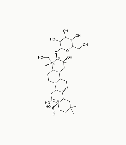 CC1(C)CC[C@@]2(C(=O)O)C(C1)C1=CCC3C(CCC4C3C[C@H](O)[C@H](OC3OC(CO)C(O)C(O)C3O)[C@@]4(C)CO)C1C[C@H]2O